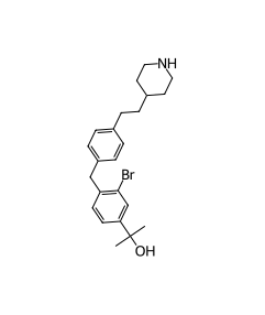 CC(C)(O)c1ccc(Cc2ccc(CCC3CCNCC3)cc2)c(Br)c1